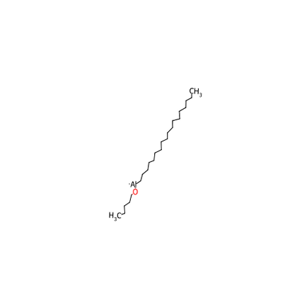 CCCCCCCCCCCCCCCCC[CH2][Al][O]CCCCC